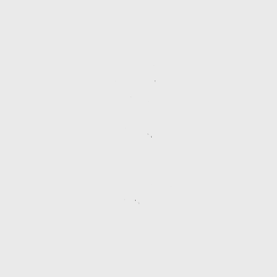 CCOC(=O)c1cn(-c2cc([N+](=O)[O-])c(F)cc2F)c2c(F)c(F)c(F)cc2c1=O